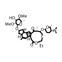 CC[C@H]1CCC[C@H](O[C@H]2CC[C@H](N(C)C)[C@@H](C)O2)[C@@H](C)C(=O)C2=C[C@@H]3[C@H](C=C(C)[C@H]4C[C@H](O[C@@H]5O[C@@H](C)[C@H](OC)[C@@H](O)[C@H]5OC)C[C@H]34)[C@@H]2CC(=O)O1